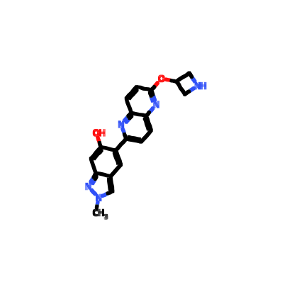 Cn1cc2cc(-c3ccc4nc(OC5CNC5)ccc4n3)c(O)cc2n1